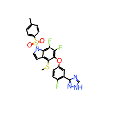 CSc1c(Oc2ccc(F)c(-c3nc[nH]n3)c2)c(F)c(F)c2c1ccn2S(=O)(=O)c1ccc(C)cc1